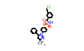 O=C(NS(=O)(=O)c1ccc(N2N=C(C(F)(F)F)CC2c2ccccc2)cc1)c1cccc(CCl)c1